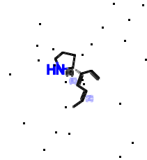 C=C/C(=C\C=C/C)[C@H]1CCCN1